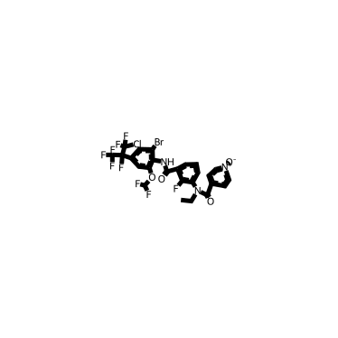 CCN(C(=O)c1cc[n+]([O-])cc1)c1cccc(C(=O)Nc2c(Br)cc(C(F)(C(F)(F)F)C(F)(F)Cl)cc2OC(F)F)c1F